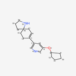 C1=C(c2cncc(OC3CCCC3)c2)CCC2(C1)CCCN2